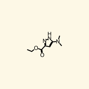 CCOC(=O)c1cc(N(C)C)[nH]n1